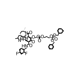 CC1=NO[C@@]2(CC[C@H](C)N3C[C@H]2n2cc(C(=O)NCc4ccc(F)cc4F)c(=O)c(OCOC(=O)OCCCOP(=O)(OCc4ccccc4)OCc4ccccc4)c2C3=O)C1